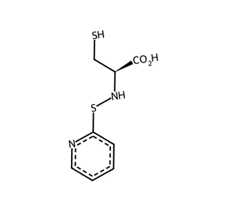 O=C(O)[C@H](CS)NSc1ccccn1